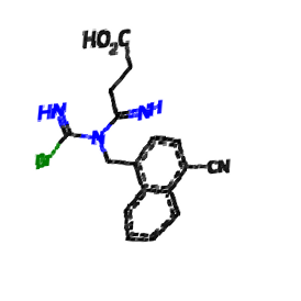 N#Cc1ccc(CN(C(=N)Br)C(=N)CCC(=O)O)c2ccccc12